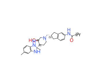 Cc1ccc2c(c1)NC(C)([C@H]1CCN(C[C@H]3Cc4ccc(NC(=O)C(C)C)cc4C3)C[C@@H]1O)N2